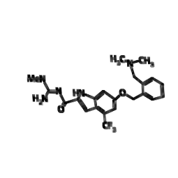 CNC(N)=NC(=O)c1cc2c(C(F)(F)F)cc(OCc3ccccc3CN(C)C)cc2[nH]1